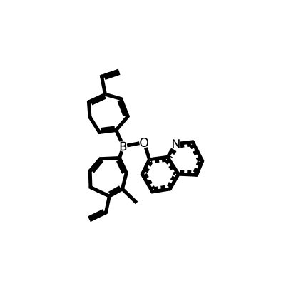 C=CC1=CCC=C(B(Oc2cccc3cccnc23)C2=CC(C)=C(C=C)CC=C2)C=C1